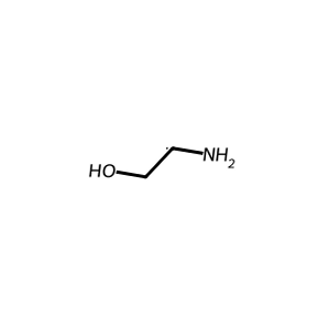 N[CH]CO